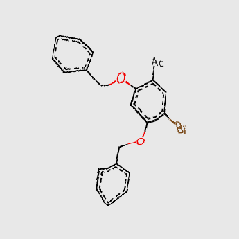 CC(=O)c1cc(Br)c(OCc2ccccc2)cc1OCc1ccccc1